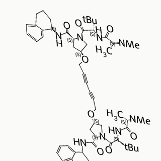 CN[C@@H](C)C(=O)N[C@H](C(=O)N1C[C@@H](OCC#CC#CCO[C@H]2C[C@@H](C(=O)N[C@@H]3CCCc4ccccc43)N(C(=O)[C@@H](NC(=O)[C@H](C)NC)C(C)(C)C)C2)C[C@H]1C(=O)NC1CCCc2ccccc21)C(C)(C)C